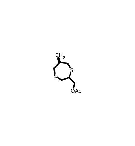 C=C1CSCC(COC(C)=O)SC1